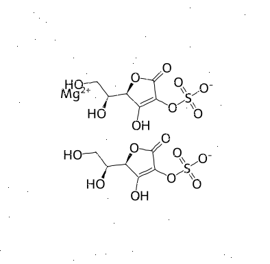 O=C1O[C@H]([C@@H](O)CO)C(O)=C1OS(=O)(=O)[O-].O=C1O[C@H]([C@@H](O)CO)C(O)=C1OS(=O)(=O)[O-].[Mg+2]